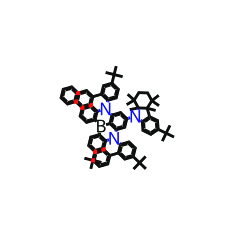 CC(C)(C)c1ccc(N2c3cc(-c4ccccc4)ccc3B3c4ccc(C(C)(C)C)cc4N(c4ccc(C(C)(C)C)cc4-c4ccccc4)c4cc(N5c6ccc(C(C)(C)C)cc6C6(C)C(C)(C)CCC(C)(C)C56C)cc2c43)c(-c2ccccc2)c1